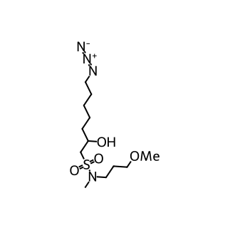 COCCCN(C)S(=O)(=O)CC(O)CCCCCN=[N+]=[N-]